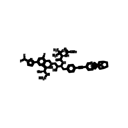 COC(=O)N[C@H](C(=O)N[C@@H](Cc1ccc(C#Cc2ccc(N3CC4CCC(C3)N4C3COC3)nc2)cc1)[C@@H](O)CN(Cc1c(F)cc(-c2ccn(C(F)F)n2)cc1F)NC(=O)[C@@H](NC(=O)O)C(C)(C)C)C(C)(C)C(F)(F)F